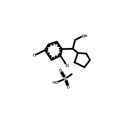 CS(=O)(=O)O.OCC(c1ccc(Cl)cc1Cl)C1CCCC1